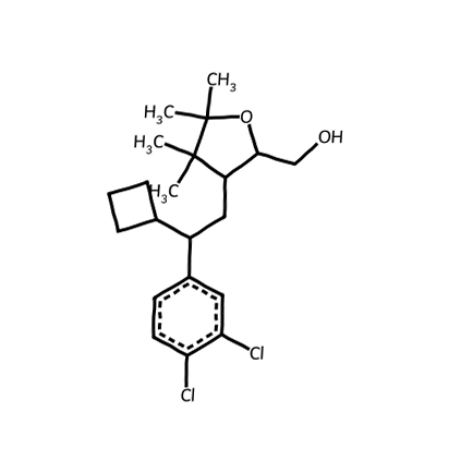 CC1(C)OC(CO)C(CC(c2ccc(Cl)c(Cl)c2)C2CCC2)C1(C)C